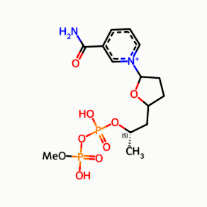 COP(=O)(O)OP(=O)(O)O[C@@H](C)CC1CCC([n+]2cccc(C(N)=O)c2)O1